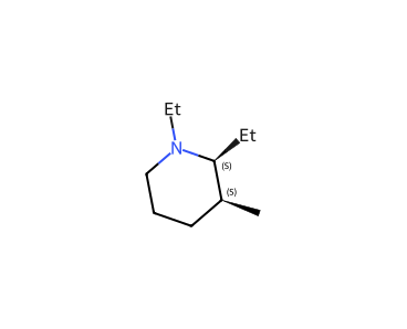 CC[C@H]1[C@@H](C)CCCN1CC